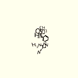 CS(=O)(=O)Nc1cccc(-n2ncc(C#N)c2N)c1